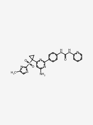 Cc1csc(S(=O)(=O)C2(c3cc(N)nc(-c4ccc(NC(=O)Nc5ccccn5)cc4)n3)CC2)n1